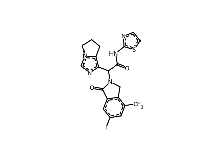 O=C(Nc1nccs1)C(c1ncn2c1CCC2)N1Cc2c(cc(I)cc2C(F)(F)F)C1=O